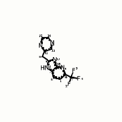 FC(F)(F)c1ccc2[nH]c(Cc3cnccn3)nc2n1